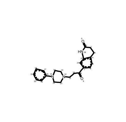 O=C1CCc2ccc(C(=O)CCN3CCN(c4ccccc4)CC3)cc2N1